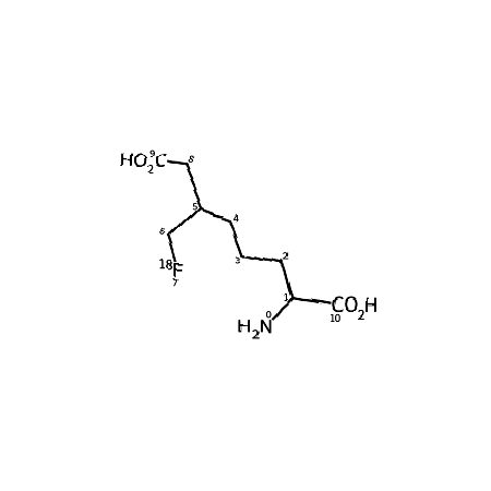 NC(CCCC(C[18F])CC(=O)O)C(=O)O